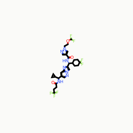 O=C(CCC(F)(F)F)NC(c1cnn2cc([C@@H](NC(=O)c3cnn(CCOC(F)F)c3)C3CCC(F)(F)CC3)nc2c1)C1CC1